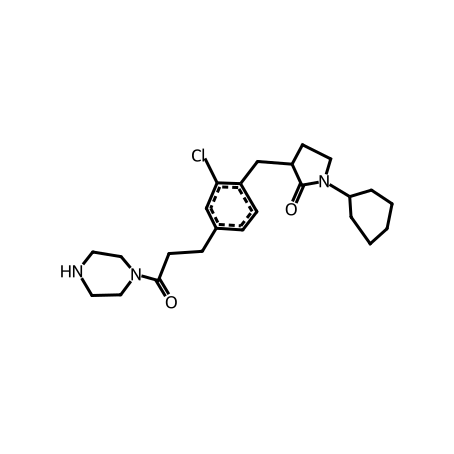 O=C(CCc1ccc(CC2CCN(C3CCCCC3)C2=O)c(Cl)c1)N1CCNCC1